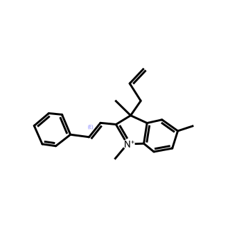 C=CCC1(C)C(/C=C/c2ccccc2)=[N+](C)c2ccc(C)cc21